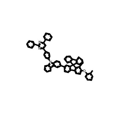 Cc1ccccc1Oc1ccc2c(c1C)C1(c3c#cccc3-c3ccccc31)c1cc(-c3ccc4c(c3)c3ccccc3n4-c3ccc(-c4cc(-c5ccccc5)nc(-c5ccccc5)n4)cc3)ccc1-2